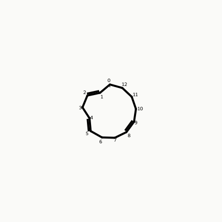 [CH]1/C=C/C/C=C/CC/C=C\CCC1